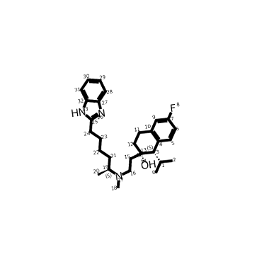 CC(C)[C@H]1c2ccc(F)cc2CC[C@]1(O)CCN(C)[C@@H](C)CCCCc1nc2ccccc2[nH]1